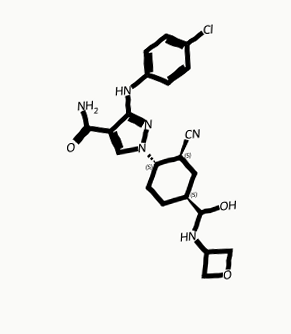 N#C[C@H]1C[C@@H](C(O)NC2COC2)CC[C@@H]1n1cc(C(N)=O)c(Nc2ccc(Cl)cc2)n1